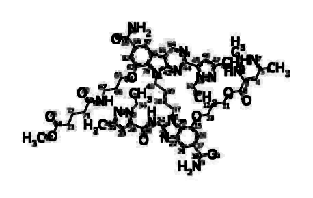 CCN/C(=C\C(C)=N)C(=O)OCCCOc1cc(C(N)=O)cc2nc(NC(=O)c3cc(C)nn3CC)n(C/C=C/Cn3c4nc(-c5cc(C)nn5CC)ncc4c4cc(C(N)=O)cc(OCCCNC(=O)CCCC(=O)OC)c43)c12